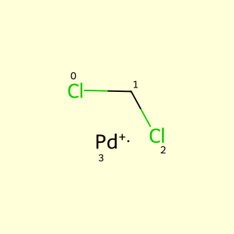 ClCCl.[Pd+]